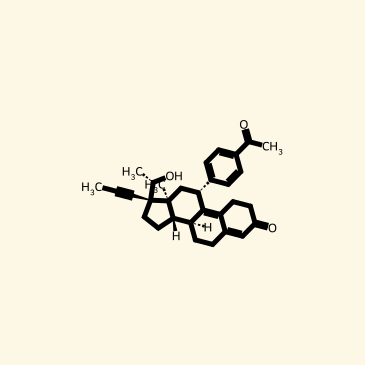 CC#C[C@]1([C@H](C)O)CC[C@H]2[C@@H]3CCC4=CC(=O)CCC4=C3[C@@H](c3ccc(C(C)=O)cc3)C[C@@]21C